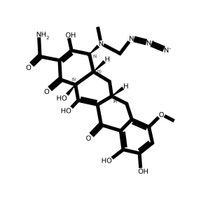 COc1cc(O)c(O)c2c1C[C@H]1C[C@H]3[C@H](N(C)CN=[N+]=[N-])C(O)=C(C(N)=O)C(=O)[C@@]3(O)C(O)=C1C2=O